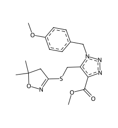 COC(=O)c1nnn(Cc2ccc(OC)cc2)c1CSC1=NOC(C)(C)C1